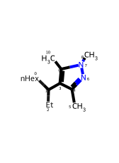 CCCCCCC(CC)c1c(C)nn(C)c1C